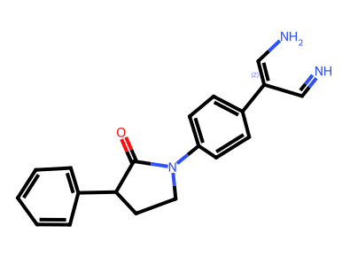 N=C/C(=C\N)c1ccc(N2CCC(c3ccccc3)C2=O)cc1